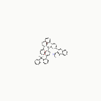 C/C=C\c1c(C2=CC=C(c3ccccc3)C(N(c3ccc(-c4cccc5c4C(C)(C)c4ccccc4-5)cc3)c3ccccc3-c3ccccc3)C2)cc2ccccc2c1C